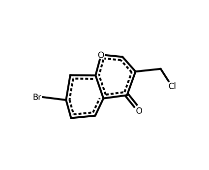 O=c1c(CCl)coc2cc(Br)ccc12